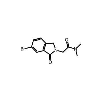 CN(C)C(=O)CN1Cc2ccc(Br)cc2C1=O